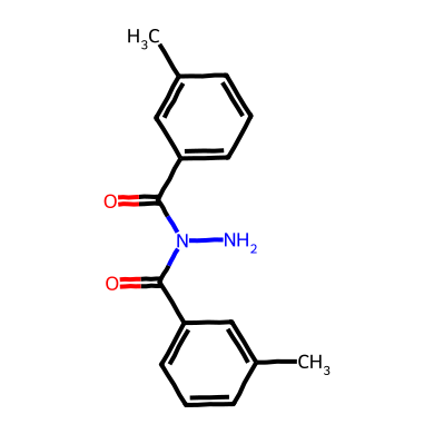 Cc1cccc(C(=O)N(N)C(=O)c2cccc(C)c2)c1